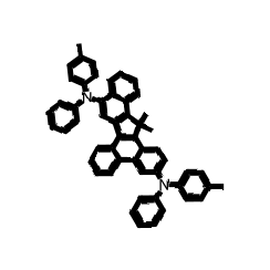 Cc1ccc(N(c2ccccc2)c2ccc3c4c(c5ccccc5c3c2)-c2cc(N(c3ccccc3)c3ccc(C)cc3)c3ccccc3c2C4(C)C)cc1